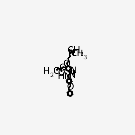 C=CC(=O)Oc1cc2c(Nc3ccc(OCc4ccccc4)cc3)ncnc2cc1OCCCCN(C)C